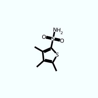 Cc1sc(S(N)(=O)=O)c(C)c1C